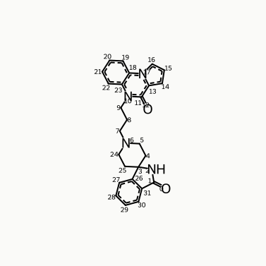 O=C1NC2(CCN(CCCn3c(=O)c4cccn4c4ccccc43)CC2)c2ccccc21